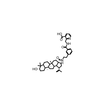 C=C(C)[C@@H]1CC[C@]2(C(=O)NCCc3cccc(C(=O)NCc4ncccc4C(=O)O)c3)CC[C@]3(C)C(CCC4[C@@]5(C)CC[C@H](O)C(C)(C)C5CC[C@]43C)C12